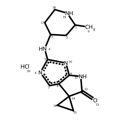 CC1CC(Nc2ncc3c(n2)NC(=O)C32CC2)CCN1.Cl